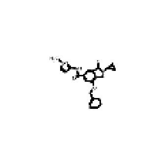 Cn1ccc(NC(=O)c2cc(OCC3=CC=CCC3)c3c(c2)C(=O)N(C2CC2)C3)n1